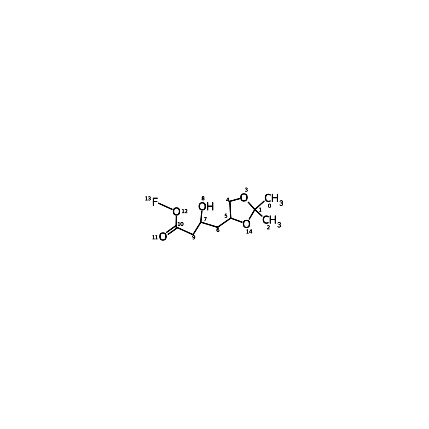 CC1(C)OCC(CC(O)CC(=O)OF)O1